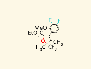 CCOC(=O)C1OC(C)(C(F)(F)F)C(C)C1c1ccc(F)c(F)c1OC